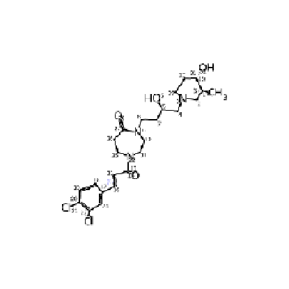 C[C@H]1CN(CC(O)CCN2CCN(C(=O)/C=C/c3ccc(Cl)c(Cl)c3)CCC2=O)CC[C@@H]1O